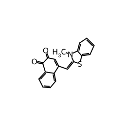 CN1C(=CC2=CC(=O)C(=O)c3ccccc32)Sc2ccccc21